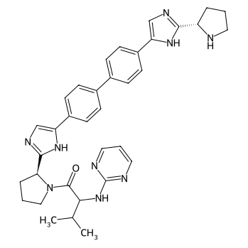 CC(C)C(Nc1ncccn1)C(=O)N1CCC[C@H]1c1ncc(-c2ccc(-c3ccc(-c4cnc([C@@H]5CCCN5)[nH]4)cc3)cc2)[nH]1